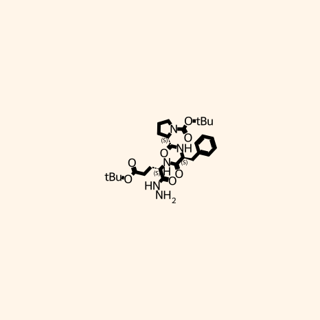 CC(C)(C)OC(=O)CC[C@H](NC(=O)[C@H](Cc1ccccc1)NC(=O)[C@@H]1CCCN1C(=O)OC(C)(C)C)C(=O)NN